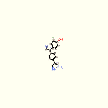 N=C/C(=C\N)c1ccc(C(CN)c2ccc(O)c(Cl)c2)cc1